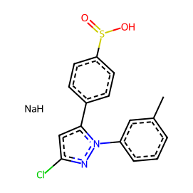 Cc1cccc(-n2nc(Cl)cc2-c2ccc(S(=O)O)cc2)c1.[NaH]